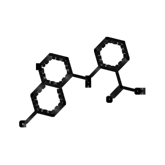 O=C(O)c1ccccc1Nc1ccnc2cc(Cl)ccc12